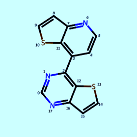 [c]1nc(-c2ccnc3ccsc23)c2sccc2n1